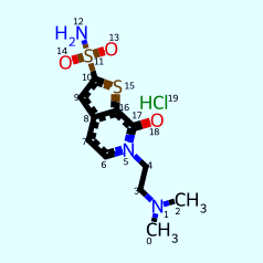 CN(C)CCn1ccc2cc(S(N)(=O)=O)sc2c1=O.Cl